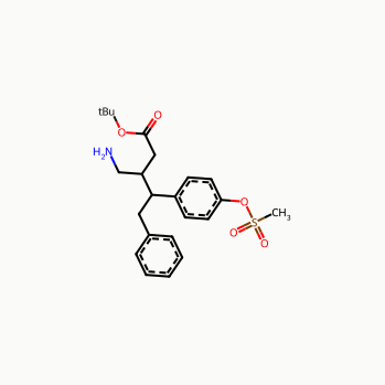 CC(C)(C)OC(=O)CC(CN)C(Cc1ccccc1)c1ccc(OS(C)(=O)=O)cc1